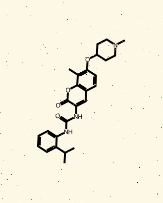 Cc1c(OC2CCN(C)CC2)ccc2cc(NC(=O)Nc3ccccc3C(C)C)c(=O)oc12